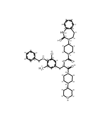 Cc1cc(CC(OC(=O)N2CCC(N3CCc4ccccc4NC3=O)CC2)C(=O)N2CCN(C3CCOCC3)CC2)cc(Cl)c1OCc1ccccc1